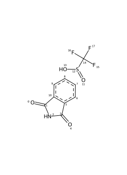 O=C1NC(=O)c2ccccc21.O=S(O)C(F)(F)F